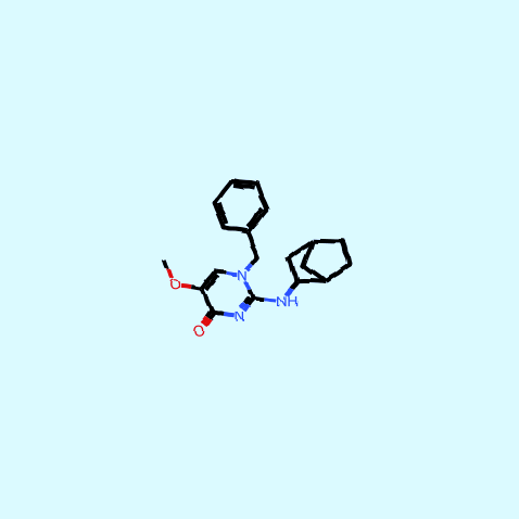 COc1cn(Cc2ccccc2)c(NC2CC3CCC2C3)nc1=O